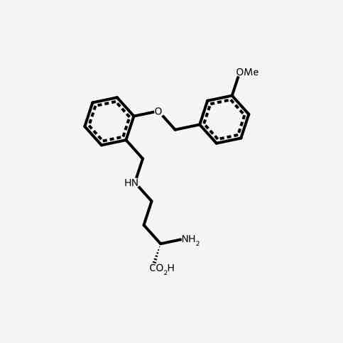 COc1cccc(COc2ccccc2CNCC[C@H](N)C(=O)O)c1